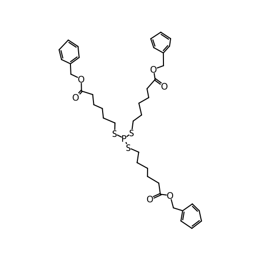 O=C(CCCCCSP(SCCCCCC(=O)OCc1ccccc1)SCCCCCC(=O)OCc1ccccc1)OCc1ccccc1